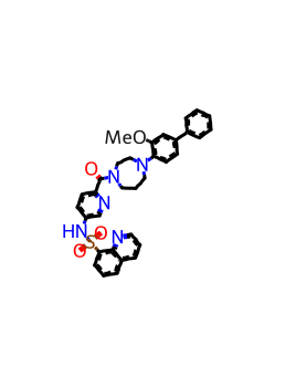 COc1cc(-c2ccccc2)ccc1N1CCCN(C(=O)c2ccc(NS(=O)(=O)c3cccc4cccnc34)cn2)CC1